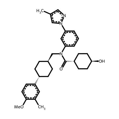 COc1ccc([C@H]2CC[C@H](CN(c3cccc(-n4cc(C)cn4)c3)C(=O)[C@H]3CC[C@H](O)CC3)CC2)cc1C